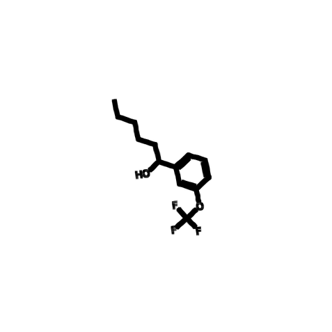 CCCCCC(O)c1cccc(OC(F)(F)F)c1